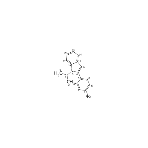 CC(C)n1c(-c2ccc(Br)cc2)cc2ccccc21